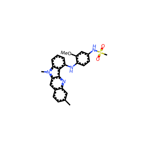 COc1cc(NS(C)(=O)=O)ccc1Nc1cccc2c1c1nc3cc(C)ccc3cc1n2C